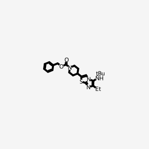 CCc1nc2sc(C3CCN(C(=O)OCc4ccccc4)CC3)cn2c1NC(C)(C)C